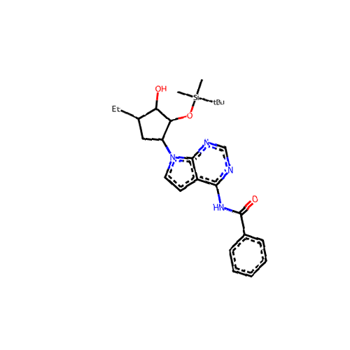 CCC1CC(n2ccc3c(NC(=O)c4ccccc4)ncnc32)C(O[Si](C)(C)C(C)(C)C)C1O